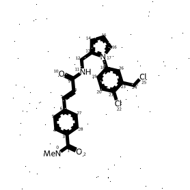 CNC(=O)c1ccc(C=CC(=O)NCc2cccn2-c2ccc(Cl)c(CCl)c2)cc1